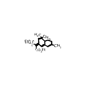 CCOC(=O)C(C(=O)OCC)=C1C=C2C=C(C)CCC2C(C)(C)C1